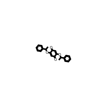 CC(OC1=CC(=O)C(OC(C)c2ccccc2)=CC1=O)c1ccccc1